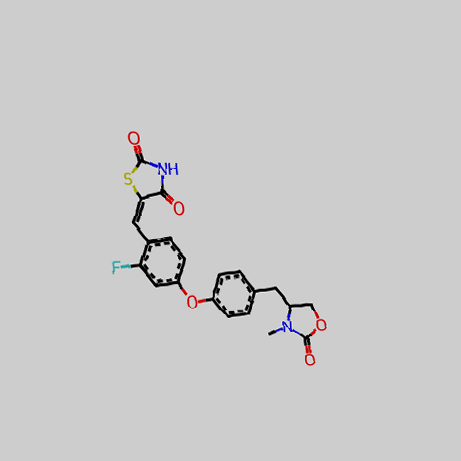 CN1C(=O)OCC1Cc1ccc(Oc2ccc(/C=C3/SC(=O)NC3=O)c(F)c2)cc1